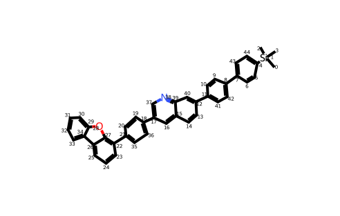 C[Si](C)(C)c1ccc(-c2ccc(-c3ccc4cc(-c5ccc(-c6cccc7c6oc6ccccc67)cc5)cnc4c3)cc2)cc1